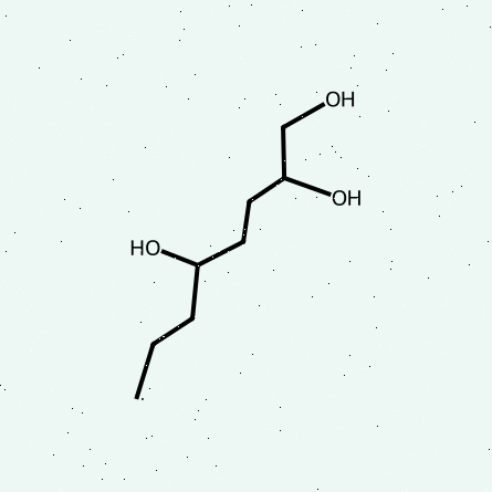 [CH2]CCC(O)CCC(O)CO